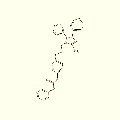 Cc1nc(-c2ccccc2)c(-c2ccccc2)n1CCOc1ccc(NC(=O)Oc2ccccc2)cc1